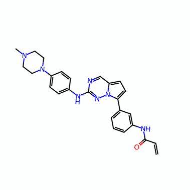 C=CC(=O)Nc1cccc(-c2ccc3cnc(Nc4ccc(N5CCN(C)CC5)cc4)nn23)c1